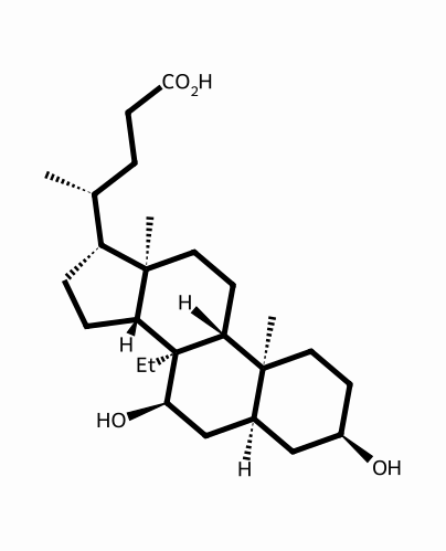 CC[C@@]12[C@H](O)C[C@@H]3C[C@H](O)CC[C@]3(C)[C@H]1CC[C@]1(C)[C@@H]([C@H](C)CCC(=O)O)CC[C@H]12